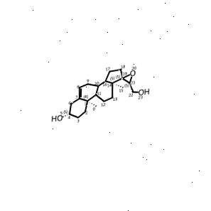 C[C@]12CC[C@H](O)CC1=CCC1C2CC[C@@]2(C)C1CC[C@]21O[C@H]1CO